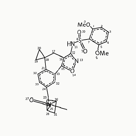 COc1cccc(OC)c1S(=O)(=O)Nc1noc2c1CC1(CC1)c1ccc(N3C(=O)C4CC3C4)cc1-2